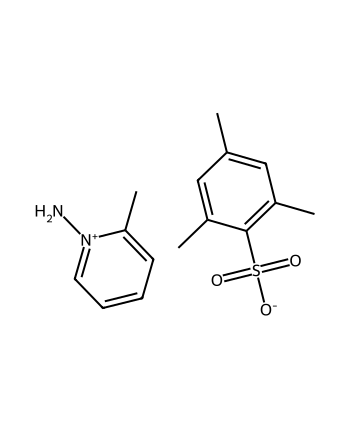 Cc1cc(C)c(S(=O)(=O)[O-])c(C)c1.Cc1cccc[n+]1N